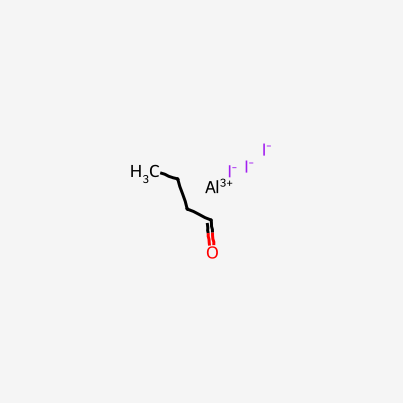 CCCC=O.[Al+3].[I-].[I-].[I-]